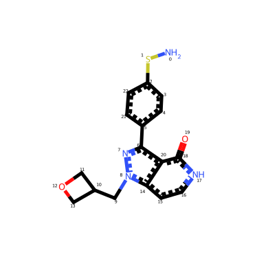 NSc1ccc(-c2nn(CC3COC3)c3cc[nH]c(=O)c23)cc1